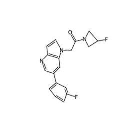 O=C(Cn1ccc2ncc(-c3cccc(F)c3)cc21)N1CC(F)C1